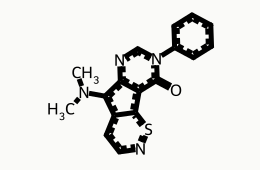 CN(C)c1c2ccnsc-2c2c(=O)n(-c3ccccc3)cnc12